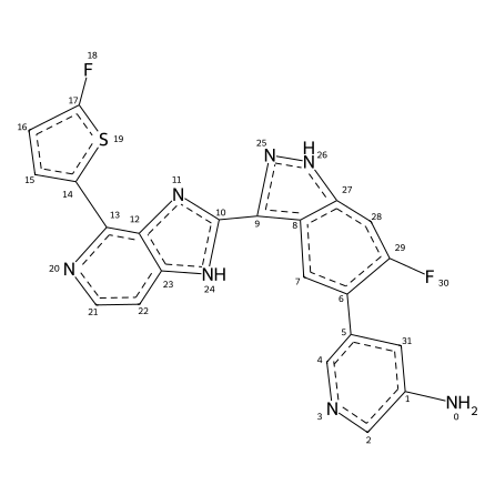 Nc1cncc(-c2cc3c(-c4nc5c(-c6ccc(F)s6)nccc5[nH]4)n[nH]c3cc2F)c1